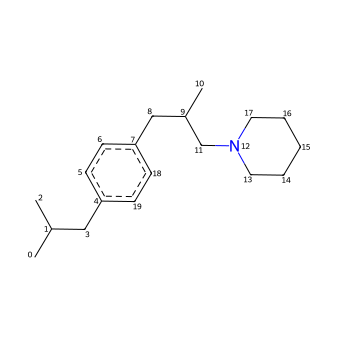 CC(C)Cc1ccc(CC(C)CN2CCCCC2)cc1